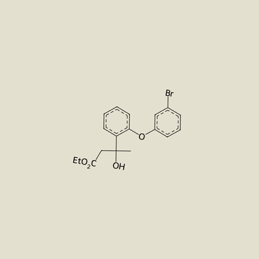 CCOC(=O)CC(C)(O)c1ccccc1Oc1cccc(Br)c1